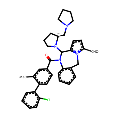 COc1cc(C(=O)N2c3ccccc3Cn3c(C=O)ccc3C2N2CCC[C@H]2CN2CCCC2)ccc1-c1ccccc1Cl